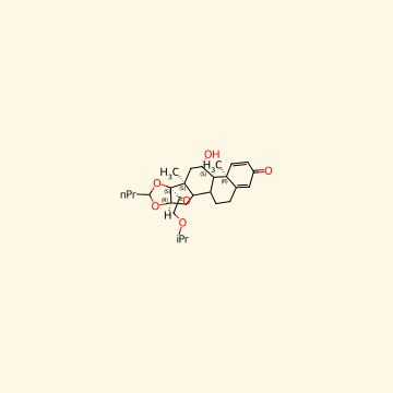 CCCC1O[C@@H]2CC3C4CCC5=CC(=O)C=C[C@]5(C)C4[C@@H](O)C[C@]3(C)[C@]2(C(=O)COC(C)C)O1